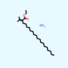 CCCCCCCCCCCCCCCCCCC(C(=O)OCC)=C(C)C.N